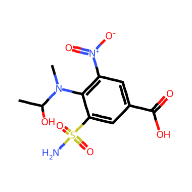 CC(O)N(C)c1c([N+](=O)[O-])cc(C(=O)O)cc1S(N)(=O)=O